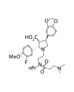 CCCN(CCN1C[C@H](c2ccc3c(c2)OCO3)[C@H](C(=O)O)[C@H]1c1ccc(OC)c(F)c1)S(=O)(=O)CCN(C)C